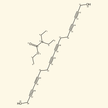 CCOC(=O)N(CC)CC.OCC#CC#CCCC#CC#CCCC#CC#CCO